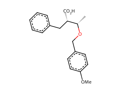 COc1ccc(CO[C@@H](C)[C@H](Cc2ccccc2)C(=O)O)cc1